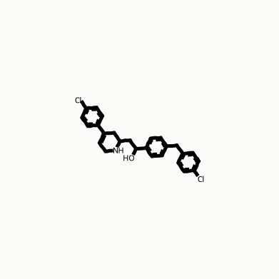 OC(CC1CC(c2ccc(Cl)cc2)=CCN1)c1ccc(Cc2ccc(Cl)cc2)cc1